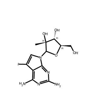 C[C@]1(O)C(n2cc(I)c3c(N)nc(N)nc32)O[C@H](CO)[C@H]1O